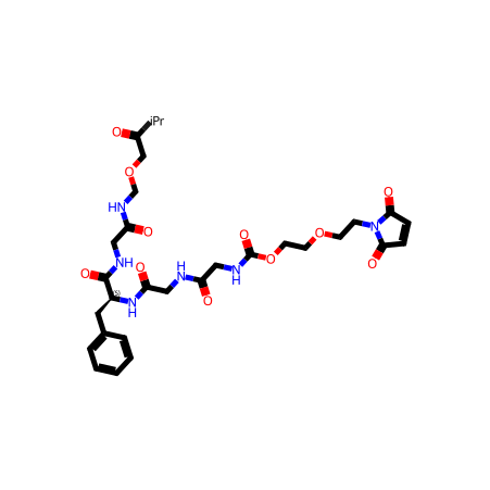 CC(C)C(=O)COCNC(=O)CNC(=O)[C@H](Cc1ccccc1)NC(=O)CNC(=O)CNC(=O)OCCOCCN1C(=O)C=CC1=O